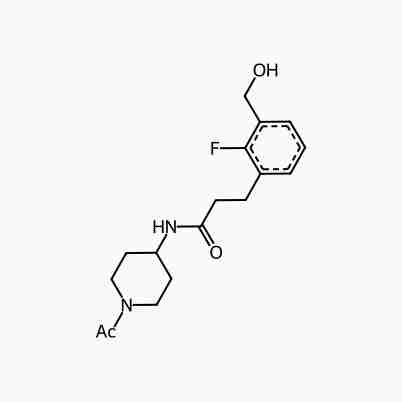 CC(=O)N1CCC(NC(=O)CCc2cccc(CO)c2F)CC1